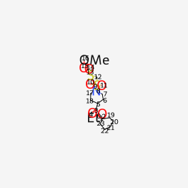 CCC1(OC(=O)C2CCN(S(=O)(=O)CSOOOC)CC2)CCCCC1